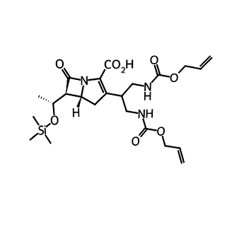 C=CCOC(=O)NCC(CNC(=O)OCC=C)C1=C(C(=O)O)N2C(=O)[C@H]([C@@H](C)O[Si](C)(C)C)[C@H]2C1